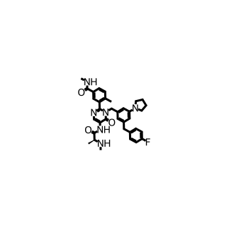 CNC(=O)c1ccc(C)c(-c2ncc(NC(=O)[C@H](C)NC)c(=O)n2Cc2cc(Cc3ccc(F)cc3)cc(N3CCCC3)c2)c1